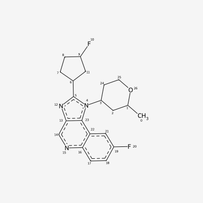 CC1CC(n2c(C3CCC(F)C3)nc3cnc4ccc(F)cc4c32)CCO1